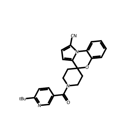 CC(C)(C)c1ccc(C(=O)N2CCC3(CC2)Oc2ccccc2-n2c(C#N)ccc23)cn1